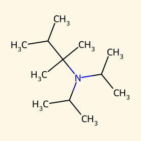 CC(C)N(C(C)C)C(C)(C)C(C)C